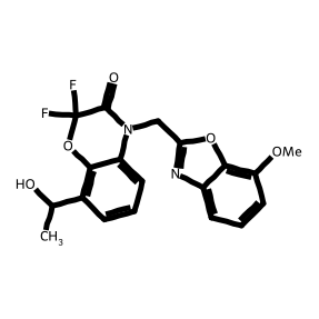 COc1cccc2nc(CN3C(=O)C(F)(F)Oc4c(C(C)O)cccc43)oc12